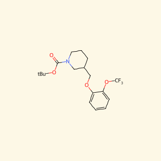 CC(C)(C)OC(=O)N1CCCC(COc2ccccc2OC(F)(F)F)C1